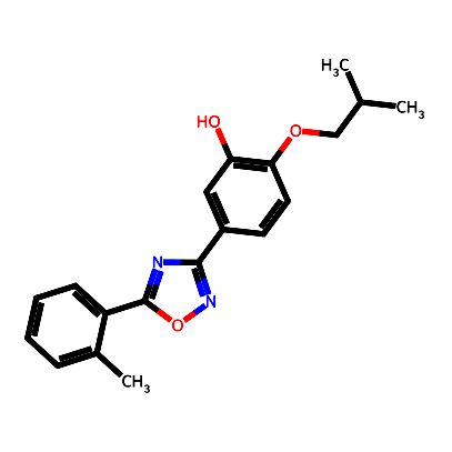 Cc1ccccc1-c1nc(-c2ccc(OCC(C)C)c(O)c2)no1